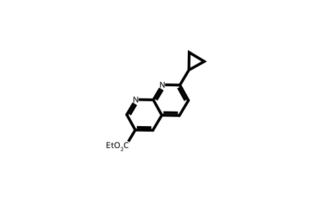 CCOC(=O)c1cnc2nc(C3CC3)ccc2c1